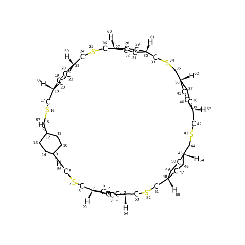 C1C[C@H]2CC[C@@H]1CSC[C@@H]1CC[C@@H](CC1)CSC[C@@H]1CC[C@@H](CC1)CSC[C@@H]1CC[C@@H](CC1)CSC[C@@H]1CC[C@@H](CC1)CSC[C@@H]1CC[C@@H](CC1)CSC2